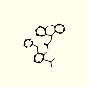 CC(C)c1cccc(Cc2ncc[nH]2)c1NC(=O)CC1c2ccccc2Oc2ccccc21.Cl